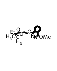 CCC(C)(C)C(=O)OCCOc1nnc(OC)c2ccccc12